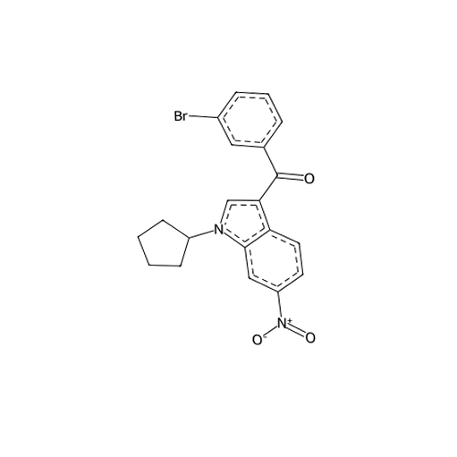 O=C(c1cccc(Br)c1)c1cn(C2CCCC2)c2cc([N+](=O)[O-])ccc12